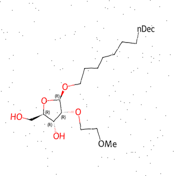 CCCCCCCCCCCCCCCCCO[C@@H]1O[C@H](CO)[C@@H](O)[C@H]1OCCOC